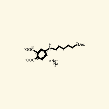 CCCCCCCCCCCCCCCNc1ccc(C(=O)[O-])c(C(=O)[O-])c1.[Na+].[Na+]